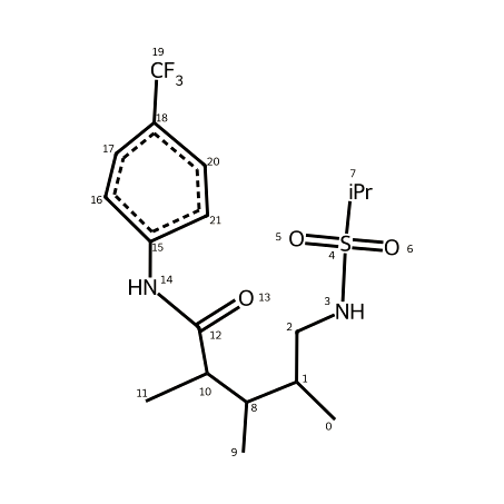 CC(CNS(=O)(=O)C(C)C)C(C)C(C)C(=O)Nc1ccc(C(F)(F)F)cc1